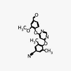 COc1cc(C=O)ccc1Oc1cc(Oc2c(C)cc(C#N)cc2C)ncn1